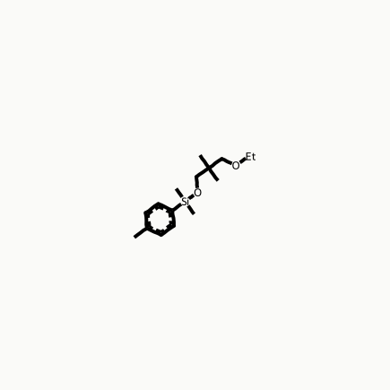 CCOCC(C)(C)CO[Si](C)(C)c1ccc(C)cc1